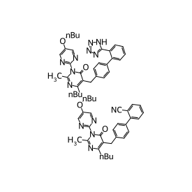 CCCCOc1cnc(-n2c(C)nc(CCCC)c(Cc3ccc(-c4ccccc4-c4nnn[nH]4)cc3)c2=O)nc1.CCCCOc1cnc(-n2c(C)nc(CCCC)c(Cc3ccc(-c4ccccc4C#N)cc3)c2=O)nc1